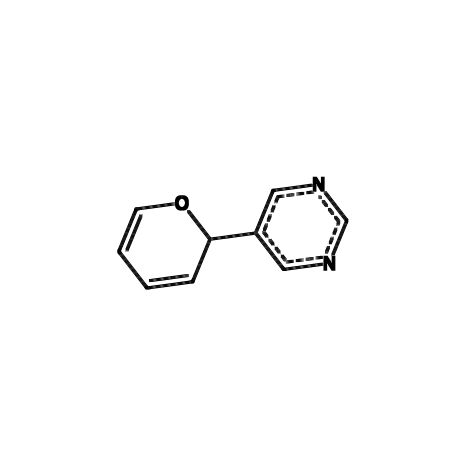 C1=COC(c2cncnc2)C=C1